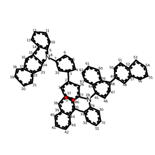 c1cc(-c2cccc(-n3c4ccccc4c4cc5ccccc5cc43)c2)cc(N(c2ccccc2-c2cccc3ccccc23)c2ccc(-c3ccc4ccccc4c3)c3ccccc23)c1